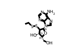 CCSSC1[C@@H](O)[C@@H](CO)O[C@H]1n1cnc2c(N)ncnc21